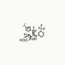 CC(C)n1cc([C@H]2[C@H]3O[C@H](C[C@@H]3O)[C@@H]2C(=O)Nc2cccc(C(F)(F)F)c2)c(C(F)(F)F)n1